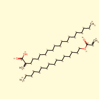 C=C(CCCCCCCCCCCCCCCCCC)C(=O)O.C=CC(=O)OCCCCCCCCCCCCCCCC